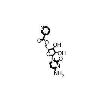 Nc1ccn([C@@H]2O[C@H](COC(=O)c3cccnc3)[C@@H](O)[C@H]2O)c(=O)n1